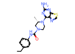 CCc1ccc(NC(=O)N2CCN(c3nc(N)nc4scnc34)[C@@H](C)C2)cc1